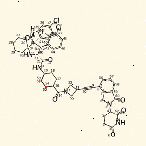 O=C1CCC(N2Cc3c(C#CC4CN(C(=O)C56CCC(NC(=O)[C@@H]7NC8(CCCCC8)[C@@]8(C(=O)Nc9cc(Cl)ccc98)[C@H]7c7cccc(Cl)c7F)(CC5)CC6)C4)cccc3C2=O)C(=O)N1